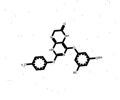 COc1cc(C#N)cc(OC2=C3NC(=O)CN=C3NC(Oc3ccc(C(F)(F)F)cc3)=N2)c1